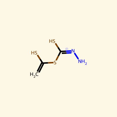 C=C(S)S/C(S)=N\N